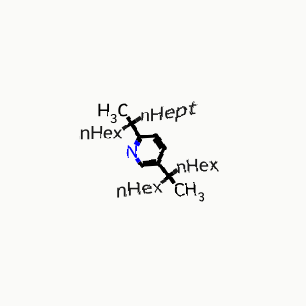 CCCCCCCC(C)(CCCCCC)c1ccc(C(C)(CCCCCC)CCCCCC)cn1